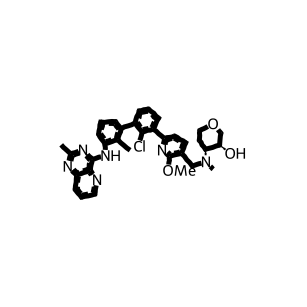 COc1nc(-c2cccc(-c3cccc(Nc4nc(C)nc5cccnc45)c3C)c2Cl)ccc1CN(C)[C@@H]1CCOC[C@@H]1O